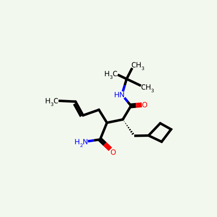 C/C=C/CC(C(N)=O)[C@@H](CC1CCC1)C(=O)NC(C)(C)C